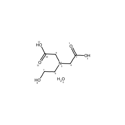 O.O=C(O)CN(CCO)CC(=O)O